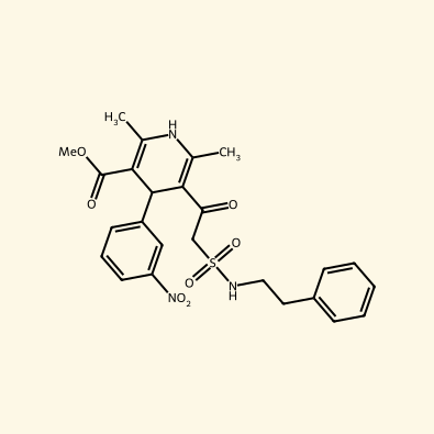 COC(=O)C1=C(C)NC(C)=C(C(=O)CS(=O)(=O)NCCc2ccccc2)C1c1cccc([N+](=O)[O-])c1